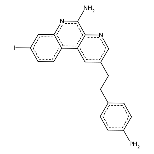 Nc1nc2cc(I)ccc2c2cc(CCc3ccc(P)cc3)cnc12